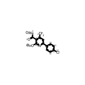 COC(=O)c1c(C(F)(F)F)cc(-c2ccc(Cl)cc2)nc1OCC(C)C